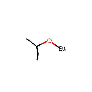 CC(C)[O][Eu]